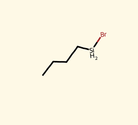 CCCC[SiH2]Br